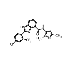 Cc1cc(NC(=O)c2cccc3[nH]c(-c4ccc(Cl)cc4C(F)(F)F)nc23)n(C)n1